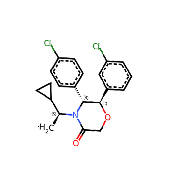 [CH2][C@@H](C1CC1)N1C(=O)CO[C@H](c2cccc(Cl)c2)[C@H]1c1ccc(Cl)cc1